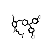 CN(C)CCN(C)c1ccc(C#N)c(CN2CCC(C(c3ccc(Cl)cc3)c3ccc(Cl)cc3)CC2)c1